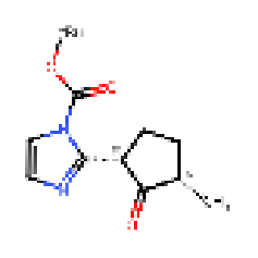 C[C@H]1CC[C@@H](c2nccn2C(=O)OC(C)(C)C)C1=O